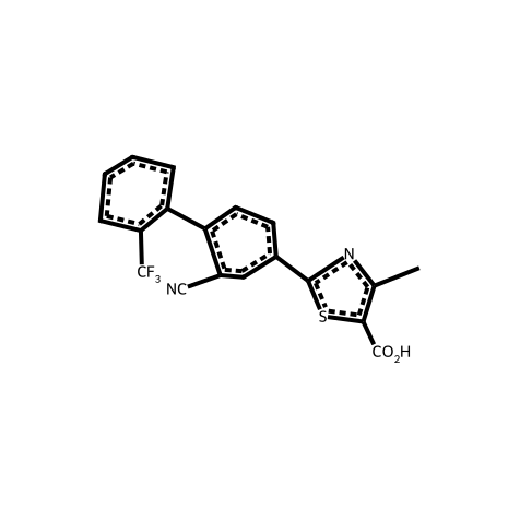 Cc1nc(-c2ccc(-c3ccccc3C(F)(F)F)c(C#N)c2)sc1C(=O)O